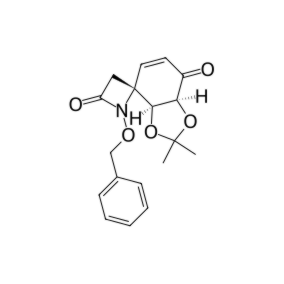 CC1(C)O[C@@H]2C(=O)C=C[C@]3(CC(=O)N3OCc3ccccc3)[C@@H]2O1